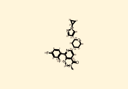 Cn1nnc2c(-c3ccc(F)cc3F)nc([C@H]3CCO[C@@H](c4cnn(C5CC5)c4)C3)cc2c1=O